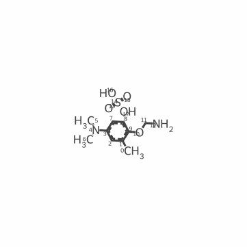 Cc1cc(N(C)C)ccc1OCN.O=S(=O)(O)O